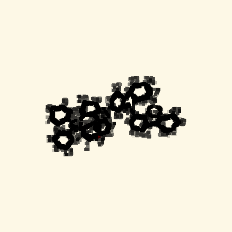 c1ccc([Si](c2ccccc2)(c2ccccc2)c2cccc3c2c2ccccc2n3-c2ccc3c4ccccc4n(-c4cccc5c4oc4ccccc45)c3c2)cc1